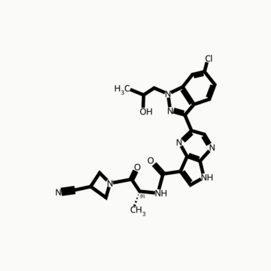 CC(O)Cn1nc(-c2cnc3[nH]cc(C(=O)N[C@H](C)C(=O)N4CC(C#N)C4)c3n2)c2ccc(Cl)cc21